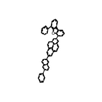 c1ccc(-c2ccc3cc(-c4cc5ccc6cc(-c7cccc8c7oc7c(-c9ccccc9)cccc78)cc7ccc(c4)c5c67)ccc3c2)cc1